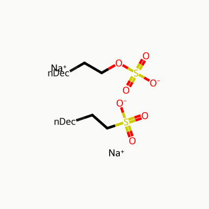 CCCCCCCCCCCCOS(=O)(=O)[O-].CCCCCCCCCCCCS(=O)(=O)[O-].[Na+].[Na+]